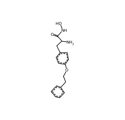 NC(Cc1ccc(OCCc2ccccc2)cc1)C(=O)NO